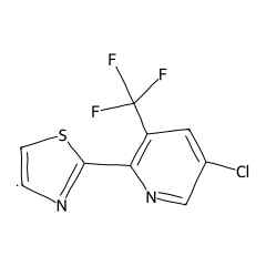 FC(F)(F)c1cc(Cl)cnc1-c1n[c]cs1